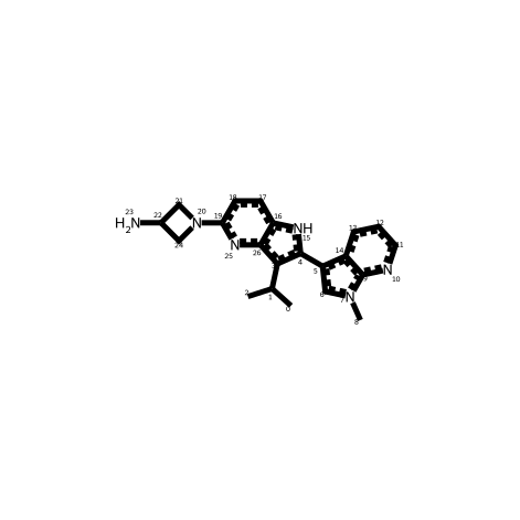 CC(C)c1c(-c2cn(C)c3ncccc23)[nH]c2ccc(N3CC(N)C3)nc12